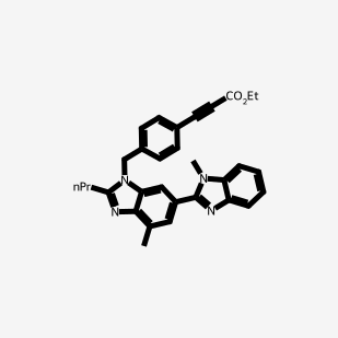 CCCc1nc2c(C)cc(-c3nc4ccccc4n3C)cc2n1Cc1ccc(C#CC(=O)OCC)cc1